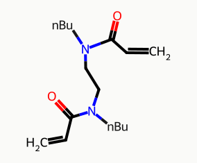 C=CC(=O)N(CCCC)CCN(CCCC)C(=O)C=C